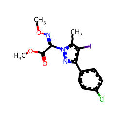 CO/N=C(\C(=O)OC)n1nc(-c2ccc(Cl)cc2)c(I)c1C